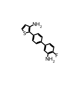 Nc1cc(-c2ccc(-c3sccc3N)cc2)ccc1F